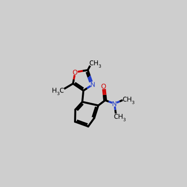 Cc1nc(-c2ccccc2C(=O)N(C)C)c(C)o1